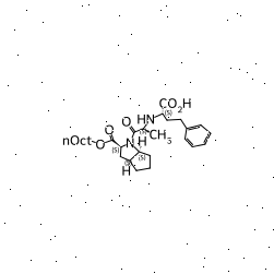 CCCCCCCCOC(=O)[C@@H]1C[C@@H]2CCC[C@@H]2N1C(=O)[C@H](C)N[C@@H](CCc1ccccc1)C(=O)O